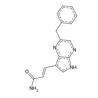 NC(=O)C=Cc1c[nH]c2ncc(Cc3ccccc3)nc12